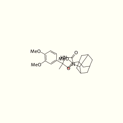 COC(=O)C12CC3CC(C1)C(N1CC(C)(c4ccc(OC)c(OC)c4)NC1=O)C(C3)C2